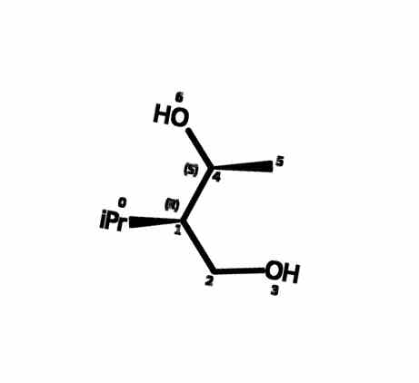 CC(C)[C@H](CO)[C@H](C)O